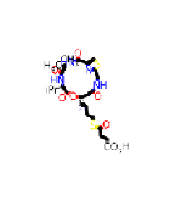 CC(C)[C@@H]1NC(=O)C(C)(C)NC(=O)c2csc(n2)CNC(=O)C[C@@H](/C=C/CCSC(=O)CCC(=O)O)OC1=O